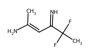 C/C(N)=C\C(=N)C(C)(F)F